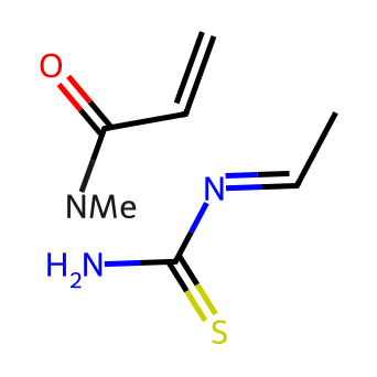 C=CC(=O)NC.CC=NC(N)=S